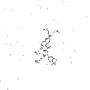 CCCN(CCC)c1ccc2c(C(=O)NCC(c3cnc(C(F)(F)F)nc3)N(CCC)CCC)c(Cl)ccc2n1